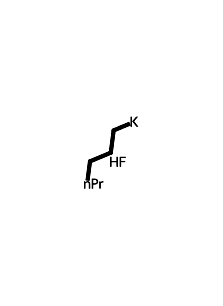 CCCCC[CH2][K].F